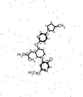 COc1cc(N2CCC(Oc3ccc(N4CCC(C)C4)cn3)C(CC(C)C)C2)c(Cl)cn1